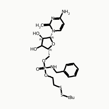 C=C1N=C(N)C=CN1[C@@H]1O[C@H](COP(=O)(NCc2ccccc2)OCCSSC(C)(C)C)C(O)[C@H]1O